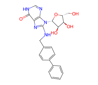 O=c1[nH]cnc2c1nc(NCc1ccc(-c3ccccc3)cc1)n2[C@@H]1O[C@H](CO)[C@@H](O)[C@H]1O